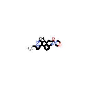 CCc1ccc2c(-c3cccc(C#N)c3)c(CCCCC(=O)N3CCOCC3)c(C)nn12